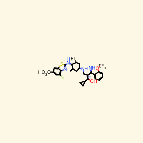 CCC1CC(NC/C(C(=N)c2ccccc2OC(F)(F)F)=C(/O)C2CC2)CC(C)C1Nc1nc2c(F)cc(C(=O)O)cc2s1